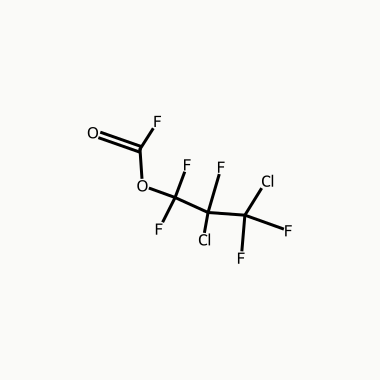 O=C(F)OC(F)(F)C(F)(Cl)C(F)(F)Cl